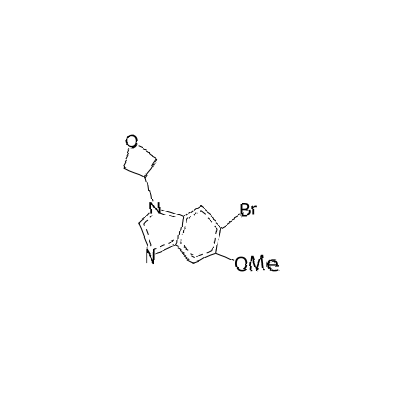 COc1cc2ncn(C3COC3)c2cc1Br